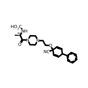 C[C@@H](NC(=O)O)C(=O)N1CCN(CCOC2(C#N)C=CC(c3ccccc3)C=C2)CC1